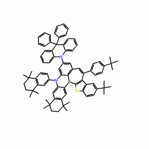 CC(C)(C)c1ccc(C2=Cc3cc(N4c5ccccc5C(c5ccccc5)(c5ccccc5)c5ccccc54)cc4c3B(c3cc5c(cc3N4c3ccc4c(c3)C(C)(C)CCC4(C)C)C(C)(C)CCC5(C)C)c3sc4ccc(C(C)(C)C)cc4c32)cc1